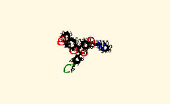 O=C(c1ccc(Cl)cc1)c1oc2cc3c(cc2c1-c1ccc(OCCN2CCCCC2)cc1)CC=CO3